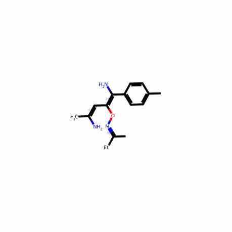 CC/C(C)=N/OC(/C=C(\N)C(F)(F)F)=C(/N)c1ccc(C)cc1